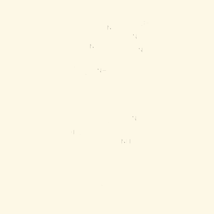 Cc1cccc(NC(=O)Nc2ccc(-c3nn(C(C)C)c4ncnc(NC(=O)c5ccc(C(C)(C)C)cc5)c34)cc2)c1